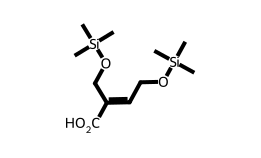 C[Si](C)(C)OCC=C(CO[Si](C)(C)C)C(=O)O